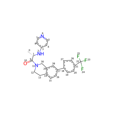 C[C@H](Nc1ccncc1)C(=O)N1CCc2ccc(-c3ccc(C(F)(F)F)cc3)cc2C1